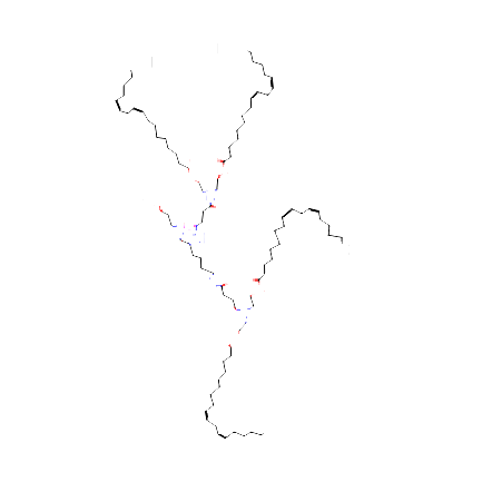 CCCCC/C=C\C/C=C\CCCCCCCC(=O)OCCN(CCOC(=O)CCCCCCC/C=C\C/C=C\CCCCC)C(=O)CCC(=O)NCCCCC(NC(=O)CCC(=O)N(CCOC(=O)CCCCCCC/C=C\C/C=C\CCCCC)CCOC(=O)CCCCCCC/C=C\C/C=C\CCCCC)C(=O)NCCCOC